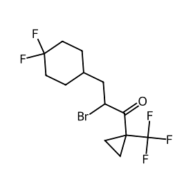 O=C(C(Br)CC1CCC(F)(F)CC1)C1(C(F)(F)F)CC1